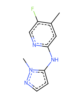 Cc1cc(Nc2ccnn2C)ncc1F